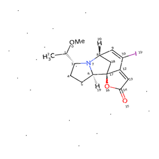 COC(C)[C@H]1CC[C@H]2N1[C@@H]1C=C(I)C3=CC(=O)O[C@@]32C1